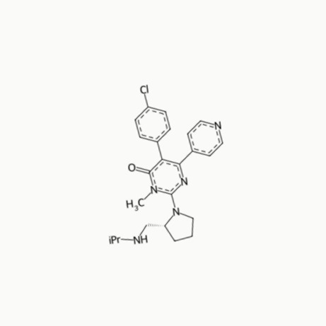 CC(C)NC[C@H]1CCCN1c1nc(-c2ccncc2)c(-c2ccc(Cl)cc2)c(=O)n1C